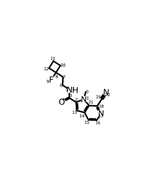 Cn1c(C(=O)NCCC2(F)CCC2)cc2ccnc(C#N)c21